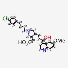 COc1ccc2nccc([C@H](O)CC[C@@H]3CCN(CCCCc4ccc(Cl)cc4)C[C@@H]3CC(=O)O)c2c1